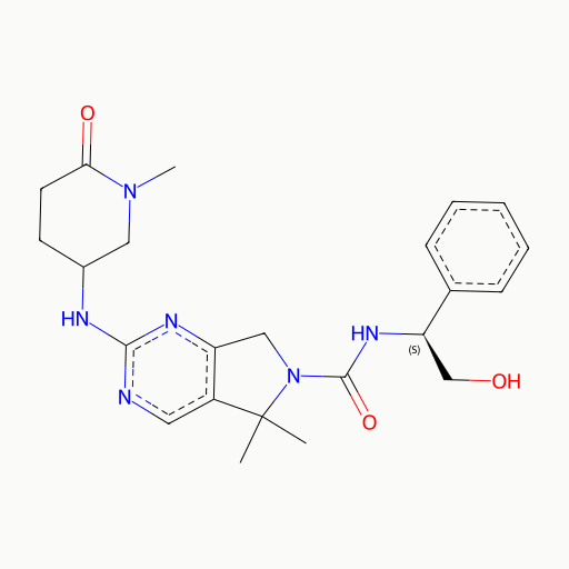 CN1CC(Nc2ncc3c(n2)CN(C(=O)N[C@H](CO)c2ccccc2)C3(C)C)CCC1=O